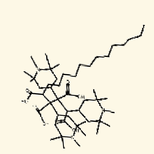 CCCCCCCCCCCCCC(C(=O)O)C(C(=O)O)(C1CC(C)(C)N(C)C(C)(C)C1)C(C(=O)O)(C1CC(C)(C)N(C)C(C)(C)C1)C(C(=O)O)C1CC(C)(C)N(C)C(C)(C)C1